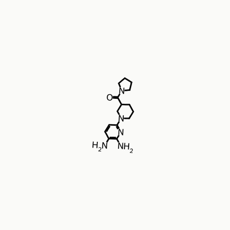 Nc1ccc(N2CCCC(C(=O)N3CCCC3)C2)nc1N